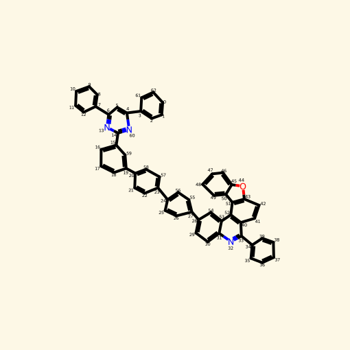 c1ccc(-c2cc(-c3ccccc3)nc(-c3cccc(-c4ccc(-c5ccc(-c6ccc7nc(-c8ccccc8)c8ccc9oc%10ccccc%10c9c8c7c6)cc5)cc4)c3)n2)cc1